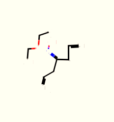 C=CCC(CC=C)=NO.CCOCC